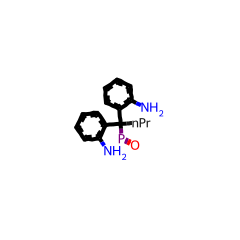 CCCC(P=O)(c1ccccc1N)c1ccccc1N